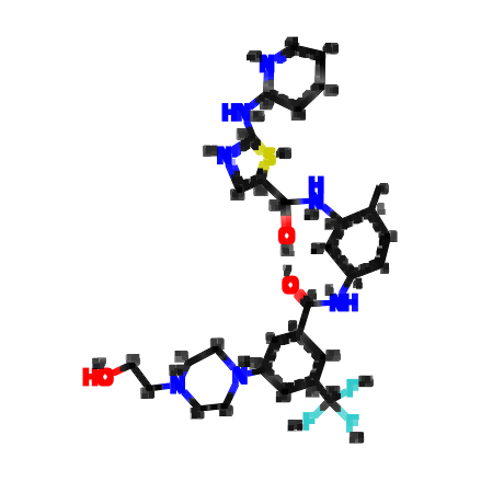 Cc1ccc(NC(=O)c2cc(N3CCN(CCO)CC3)cc(C(F)(F)F)c2)cc1NC(=O)c1cnc(Nc2ccccn2)s1